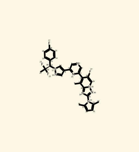 Cc1c(-c2cncc(-c3cnn([C@H](c4ccc(F)cc4)C(C)(F)F)c3)n2)c(F)cn2nc(-n3c(C)ccc3C)nc12